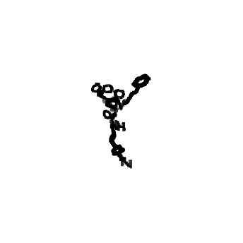 COC(=O)C[C@@H]1C[C@@H](CC(=O)NCC=Cc2ccc(C#N)cc2)N(CCCc2ccccc2)C1=O